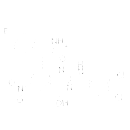 NC(=O)C(c1ccc(F)cc1)c1cc([N+](=O)[O-])cc2c(O)nc(Nc3ccc(Cl)c(Cl)c3)nc12